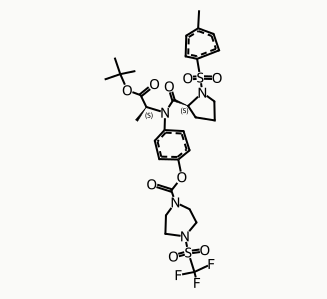 Cc1ccc(S(=O)(=O)N2CCC[C@H]2C(=O)N(c2ccc(OC(=O)N3CCN(S(=O)(=O)C(F)(F)F)CC3)cc2)[C@@H](C)C(=O)OC(C)(C)C)cc1